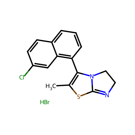 Br.CC1=C(c2cccc3ccc(Cl)cc23)N2CCN=C2S1